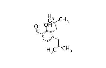 CC(C)Cc1ccc(C=O)c(O)c1CC(C)C